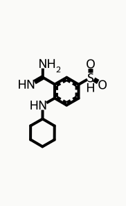 N=C(N)c1cc([SH](=O)=O)ccc1NC1CCCCC1